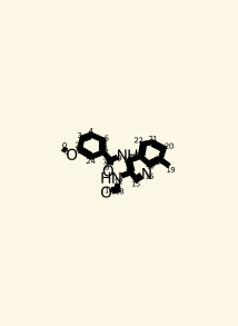 COc1cccc(C(=O)Nc2c(NC=O)cnc3c(C)cccc23)c1